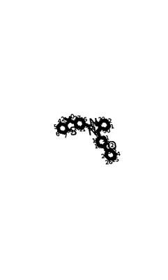 CC1(C)c2ccccc2Sc2cc(-c3nc(-c4ccc5c(c4)oc4ccccc45)c4ccccc4n3)ccc21